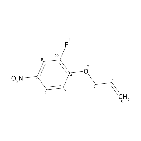 C=CCOc1ccc([N+](=O)[O-])cc1F